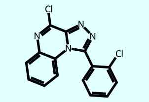 Clc1ccccc1-c1nnc2c(Cl)nc3ccccc3n12